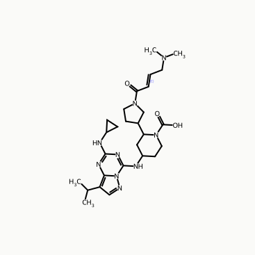 CC(C)c1cnn2c(NC3CCN(C(=O)O)C(C4CCN(C(=O)/C=C/CN(C)C)C4)C3)nc(NC3CC3)nc12